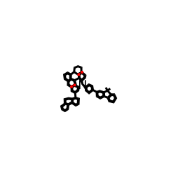 CC1(C)c2ccccc2-c2ccc(-c3ccc(N(c4cccc(-c5cccc6c5ccc5ccccc56)c4)c4ccccc4-c4cccc5cccc(C6CCCCC6)c45)cc3)cc21